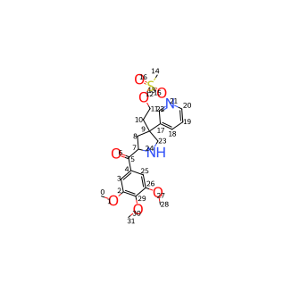 COc1cc(C(=O)C2CC(CCOS(C)(=O)=O)(c3cccnc3)CN2)cc(OC)c1OC